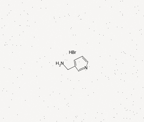 Br.NCc1cccnc1